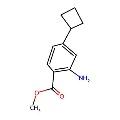 COC(=O)c1ccc(C2CCC2)cc1N